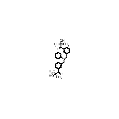 CC(C)(O)C(=O)c1cccc(CN(Cc2cccc(C(=O)C(C)(C)O)c2)c2ccccc2)c1